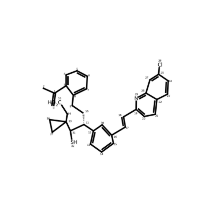 C=C(C)c1ccccc1CC[C@H](c1cccc(/C=C/c2ccc3ccc(Cl)cc3n2)c1)C(S)C1(CC(=O)O)CC1